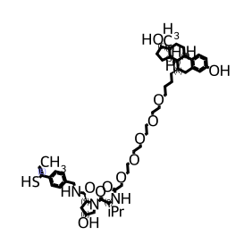 C/C=C(/S)c1ccc(CNC(=O)[C@@H]2C[C@@H](O)CN2C(=O)[C@@H](NC(=O)COCCOCCOCCOCCOCCCC[C@@H]2Cc3cc(O)ccc3[C@H]3CC[C@]4(C)[C@@H](O)CC[C@H]4[C@H]23)C(C)C)cc1